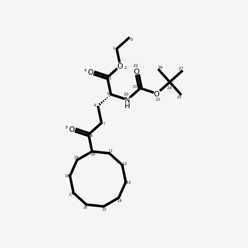 CCOC(=O)[C@@H](CCC(=O)C1CCCCCCCCC1)NC(=O)OC(C)(C)C